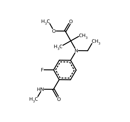 CCN(c1ccc(C(=O)NC)c(F)c1)C(C)(C)C(=O)OC